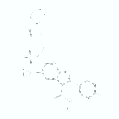 CNC(=O)c1c(-c2ccc(C)cc2)oc2nc(N(CCCC3(C(=O)O)CCCC3)S(C)(=O)=O)c(C3CC3)cc12